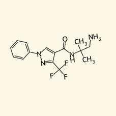 CC(C)(CN)NC(=O)c1cn(-c2ccccc2)nc1C(F)(F)F